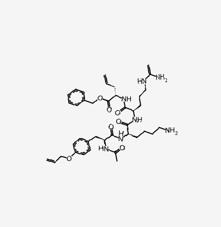 C=CCOc1ccc(C[C@H](NC(C)=O)C(=O)N[C@H](CCCCN)C(=O)N[C@H](CCCNC(=C)N)C(=O)N[C@@H](CC=C)C(=O)OCc2ccccc2)cc1